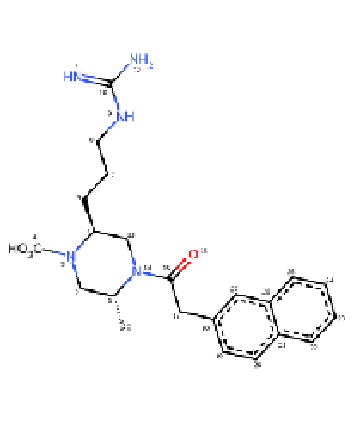 C[C@@H]1CN(C(=O)O)[C@@H](CCCNC(=N)N)CN1C(=O)Cc1ccc2ccccc2c1